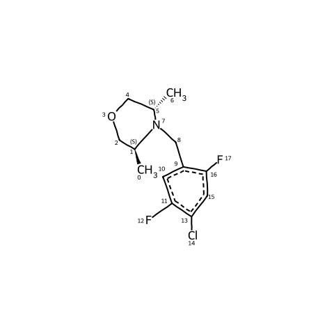 C[C@H]1COC[C@H](C)N1Cc1cc(F)c(Cl)cc1F